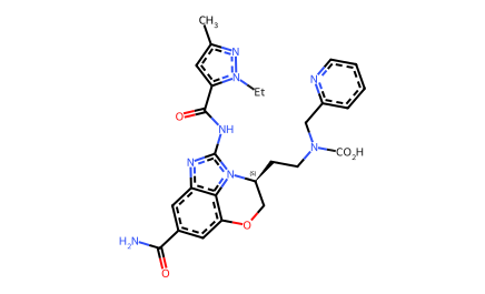 CCn1nc(C)cc1C(=O)Nc1nc2cc(C(N)=O)cc3c2n1[C@@H](CCN(Cc1ccccn1)C(=O)O)CO3